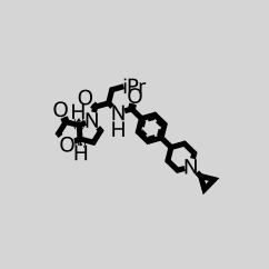 CC(C)CC(NC(=O)c1ccc(C2CCN(C3CC3)CC2)cc1)C(=O)N1CC[C@H]2OCC(=O)[C@H]21